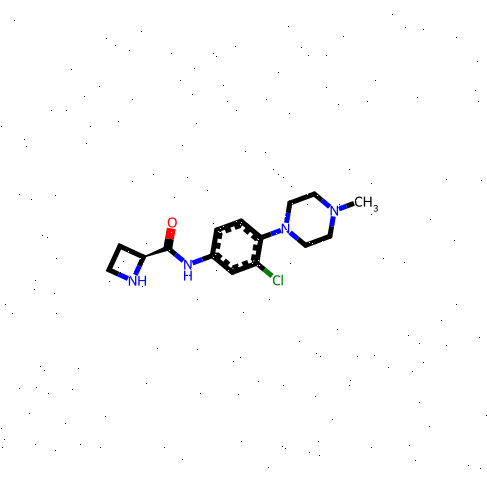 CN1CCN(c2ccc(NC(=O)[C@@H]3CCN3)cc2Cl)CC1